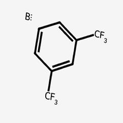 FC(F)(F)c1cccc(C(F)(F)F)c1.[B]